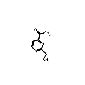 CSc1nccc(C(C)=O)n1